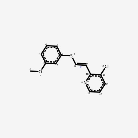 COc1cccc(S/C=C/c2ncccc2Cl)c1